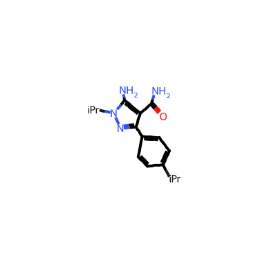 CC(C)c1ccc(-c2nn(C(C)C)c(N)c2C(N)=O)cc1